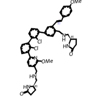 COc1ccc(/C=C/c2cc(-c3cccc(-c4cccc(-c5ccc(CNC[C@H]6CCC(=O)N6)c(OC)n5)c4Cl)c3Cl)ccc2CNC[C@H]2CCC(=O)N2)cc1